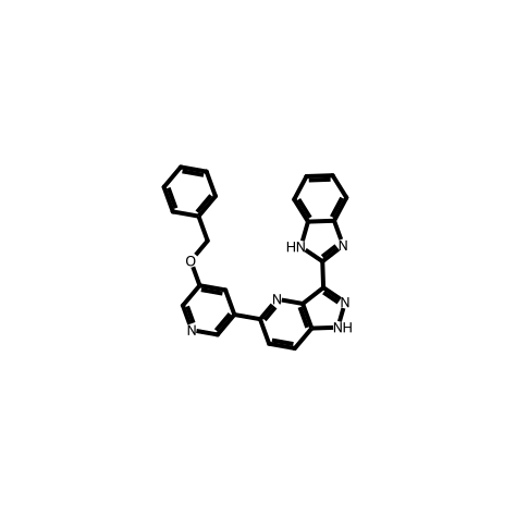 c1ccc(COc2cncc(-c3ccc4[nH]nc(-c5nc6ccccc6[nH]5)c4n3)c2)cc1